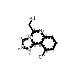 ClCc1nc2cccc(Cl)c2c2nncn12